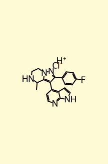 CC1NCCn2nc(-c3ccc(F)cc3)c(-c3ccnc4[nH]ccc34)c21.[Cl-].[H+]